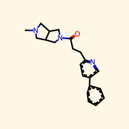 CN1CC2CN(C(=O)CCc3ccc(-c4ccccc4)cn3)CC2C1